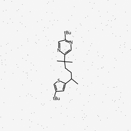 CC(CCC(C)(C)c1cnc(C(C)(C)C)cn1)c1cc(C(C)(C)C)cs1